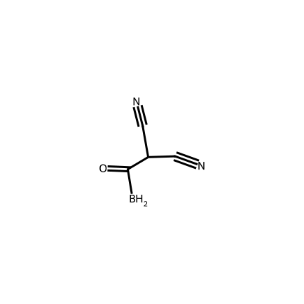 BC(=O)C(C#N)C#N